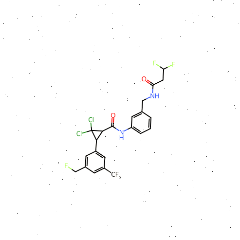 O=C(CC(F)F)NCc1cccc(NC(=O)C2C(c3cc(CF)cc(C(F)(F)F)c3)C2(Cl)Cl)c1